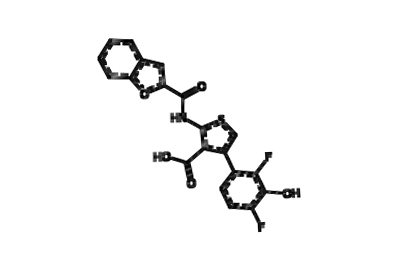 O=C(Nc1scc(-c2ccc(F)c(O)c2F)c1C(=O)O)c1cc2ccccc2o1